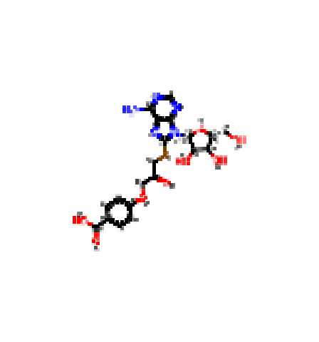 Nc1ncnc2c1nc(SCC(=O)COc1ccc(C(=O)O)cc1)n2[C@@H]1O[C@H](CO)C(O)C1O